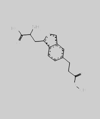 COC(=O)CCc1ccc2c(CC(N)C(=O)O)occ2c1